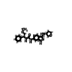 COC[C@@H](NC(=O)Nc1cc2[nH]nc(N[C@H]3CCOC3)c2cn1)c1ccccc1